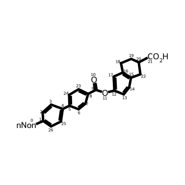 CCCCCCCCCc1ccc(-c2ccc(C(=O)Oc3ccc4c(c3)CCC(C(=O)O)C4)cc2)cc1